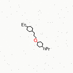 CCCC1CCC(OCCCC2CCC(CC)CC2)CC1